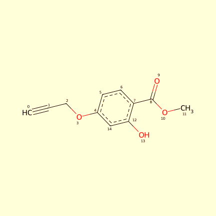 C#CCOc1ccc(C(=O)OC)c(O)c1